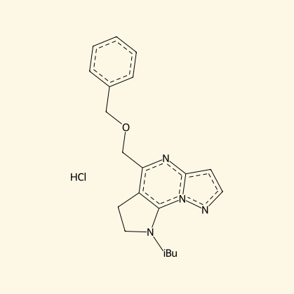 CCC(C)N1CCc2c(COCc3ccccc3)nc3ccnn3c21.Cl